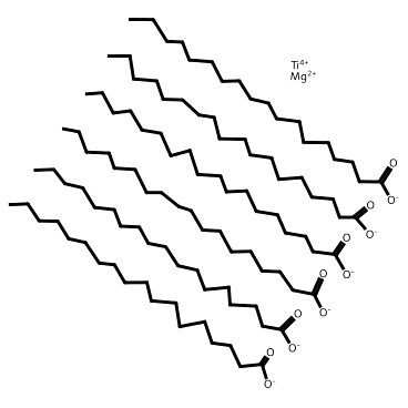 CCCCCCCCCCCCCCCCCC(=O)[O-].CCCCCCCCCCCCCCCCCC(=O)[O-].CCCCCCCCCCCCCCCCCC(=O)[O-].CCCCCCCCCCCCCCCCCC(=O)[O-].CCCCCCCCCCCCCCCCCC(=O)[O-].CCCCCCCCCCCCCCCCCC(=O)[O-].[Mg+2].[Ti+4]